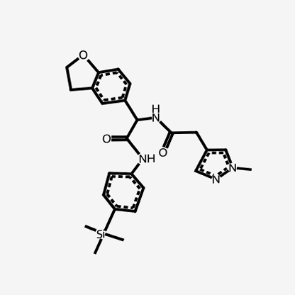 Cn1cc(CC(=O)NC(C(=O)Nc2ccc([Si](C)(C)C)cc2)c2ccc3c(c2)CCO3)cn1